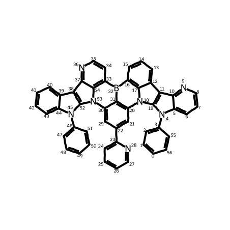 c1ccc(-n2c3cccnc3c3c4cccc5c4n(c32)-c2cc(-c3ccccn3)cc3c2B5c2ccnc4c5c6ccccc6n(-c6ccccc6)c5n-3c24)cc1